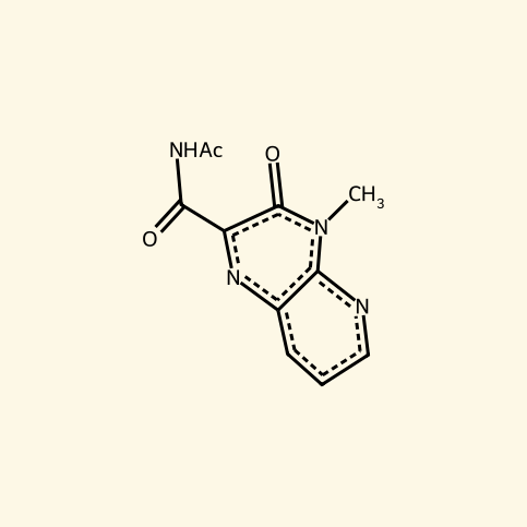 CC(=O)NC(=O)c1nc2cccnc2n(C)c1=O